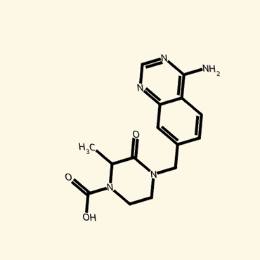 CC1C(=O)N(Cc2ccc3c(N)ncnc3c2)CCN1C(=O)O